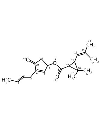 CC=CCC1=CC(OC(=O)C2C(C=C(C)C)C2(C)C)CC1=O